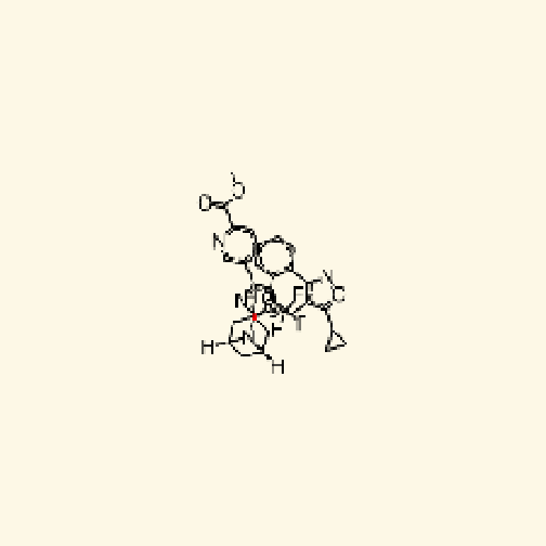 COC(=O)c1ccc(-c2csc(N3[C@@H]4C[C@@H](OCc5c(-c6ccccc6OC(F)(F)F)noc5C5CC5)C[C@H]3C4)n2)cn1